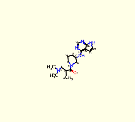 CC(CN(C)C)C(=O)N1CCC[C@@H](Nc2ncnc3[nH]ccc23)C1